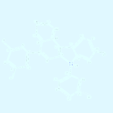 Cc1cc(C)cc(-c2cc3c(c4ccccc24)c2ccc(C)cc2n3-c2cccc(C)c2)c1